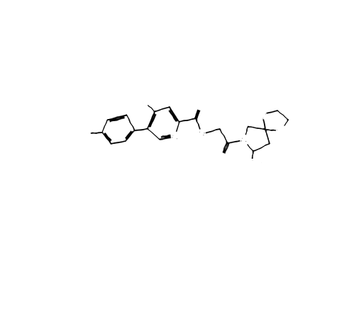 O=C(NCC(=O)N1CC2(CC1C(=O)O)OCCO2)c1cc(F)c(-c2ccc(F)cc2)cn1